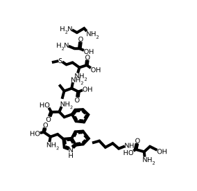 CC(C)C(N)C(=O)O.CCCCCN.CSCCC(N)C(=O)O.NC(CO)C(=O)O.NC(Cc1c[nH]c2ccccc12)C(=O)O.NC(Cc1ccccc1)C(=O)O.NCC(=O)O.NCCN